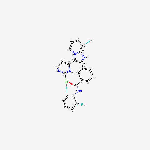 O=C(Nc1c(F)cccc1F)c1cccc(-c2nc3c(F)cccn3c2-c2ccnc(Cl)n2)c1